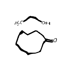 O=C1CCCCC1.[CH2]CO